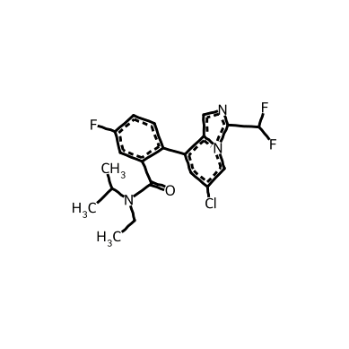 CCN(C(=O)c1cc(F)ccc1-c1cc(Cl)cn2c(C(F)F)ncc12)C(C)C